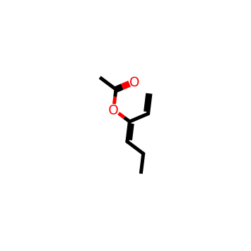 C=C/C(=C\CC)OC(C)=O